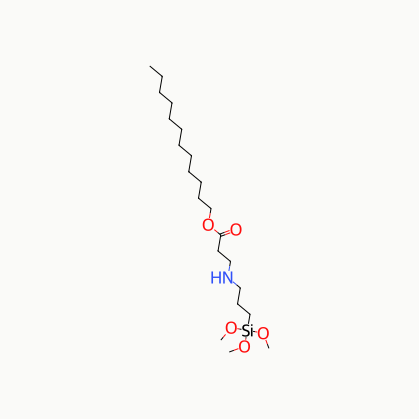 CCCCCCCCCCCCOC(=O)CCNCCC[Si](OC)(OC)OC